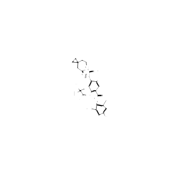 Cc1cc(F)cc(Cl)c1NC(=O)c1cc(F)c(-n2nc3n(c2=O)CCC2(CC2)C3)cc1O[C@@H](C)C(F)(F)F